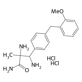 COc1ccccc1Cc1ccc(C(N)C(C)(N)C(N)=O)cc1.Cl.Cl